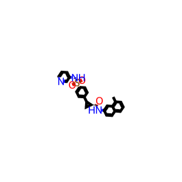 Cc1cccc2ccc(NC(=O)[C@@H]3CC3c3ccc(S(=O)(=O)Nc4cccnc4)cc3)cc12